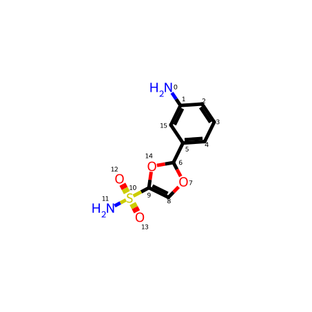 Nc1cccc(C2OC=C(S(N)(=O)=O)O2)c1